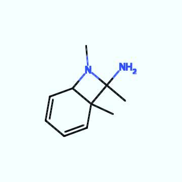 CN1C2C=CC=CC2(C)C1(C)N